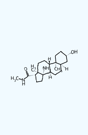 CNC(=O)[C@H]1CC[C@]2(N)[C@@H]3CC[C@@H]4C[C@@H](O)CC[C@]4(C)[C@H]3CC[C@]12C